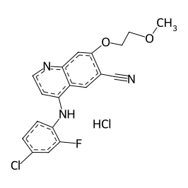 COCCOc1cc2nccc(Nc3ccc(Cl)cc3F)c2cc1C#N.Cl